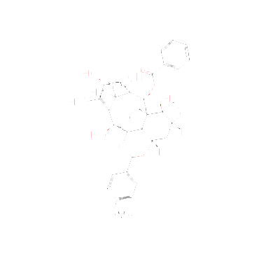 COc1ccc(C2O[C@H]3C[C@H]4OC[C@@]4(O)[C@H]4[C@H](OC(=O)c5ccccc5)[C@]5(O)C[C@H](O)C(C)=C([C@H](O)[C@H](O2)[C@]34C)C5(C)C)cc1